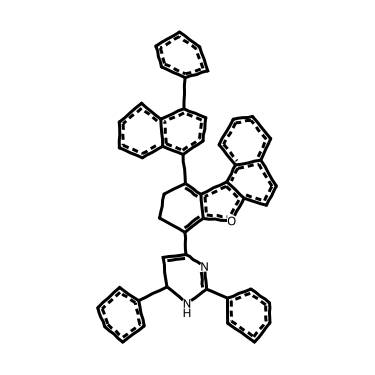 C1=C(C2=c3oc4ccc5ccccc5c4c3=C(c3ccc(-c4ccccc4)c4ccccc34)CC2)N=C(c2ccccc2)NC1c1ccccc1